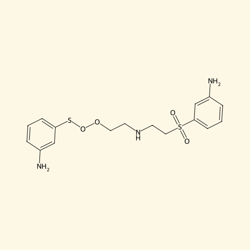 Nc1cccc(SOOCCNCCS(=O)(=O)c2cccc(N)c2)c1